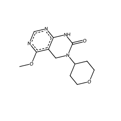 COc1ncnc2c1CN(C1CCOCC1)C(=O)N2